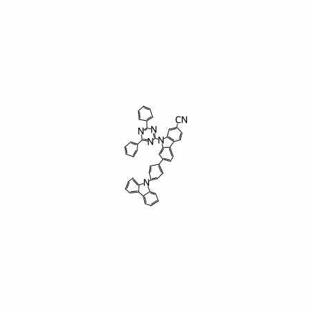 N#Cc1ccc2c3ccc(-c4ccc(-n5c6ccccc6c6ccccc65)cc4)cc3n(-c3nc(-c4ccccc4)nc(-c4ccccc4)n3)c2c1